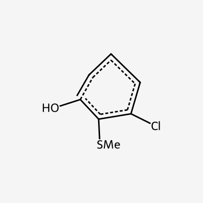 CSc1c(O)cccc1Cl